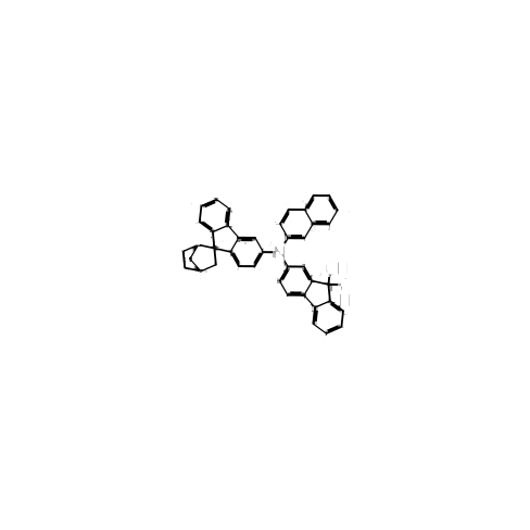 CC1(C)c2ccccc2-c2ccc(N(c3ccc4c(c3)-c3ccccc3C43CC4CCC3C4)c3ccc4ccccc4c3)cc21